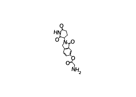 NCC(=O)Oc1ccc2c(c1)C(=O)N(C1CCC(=O)NC1=O)C2